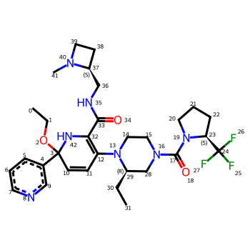 CCOC1(c2cccnc2)C=CC(N2CCN(C(=O)N3CCC[C@H]3C(F)(F)F)C[C@H]2CC)=C(C(=O)NC[C@@H]2CCN2C)N1